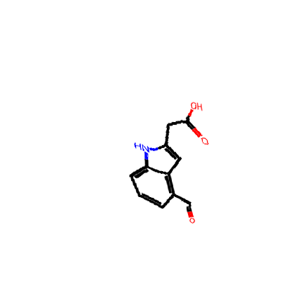 O=Cc1cccc2[nH]c(CC(=O)O)cc12